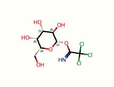 N=C(O[C@@H]1O[C@H](CO)[C@H](O)[C@H](O)[C@H]1O)C(Cl)(Cl)Cl